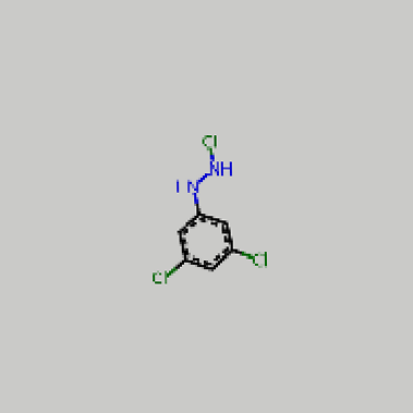 ClNNc1cc(Cl)cc(Cl)c1